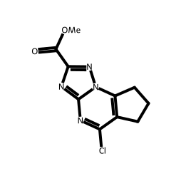 COC(=O)c1nc2nc(Cl)c3c(n2n1)CCC3